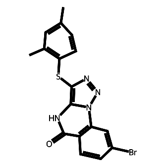 Cc1ccc(Sc2nnn3c2[nH]c(=O)c2ccc(Br)cc23)c(C)c1